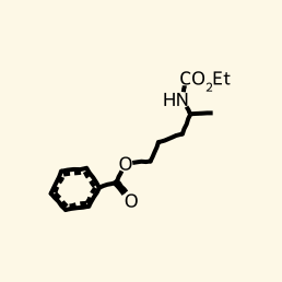 CCOC(=O)NC(C)CCCOC(=O)c1ccccc1